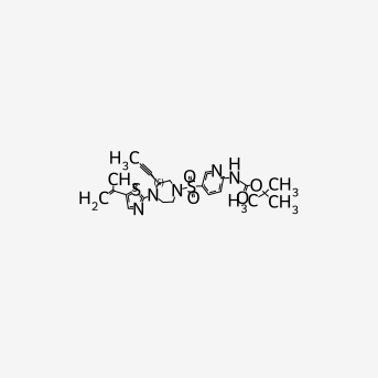 C=C(C)c1cnc(N2CCN(S(=O)(=O)c3ccc(NC(=O)OC(C)(C)C)nc3)C[C@@H]2C#CC)s1